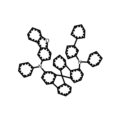 c1ccc(-c2cccc(N(c3ccccc3)c3cccc4c3-c3ccccc3C43c4ccccc4-c4ccc(N(c5ccccc5)c5ccc6oc7ccccc7c6c5)cc43)c2)cc1